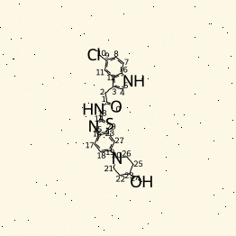 O=C(Cc1c[nH]c2ccc(Cl)cc12)Nc1nc2ccc(N3CCC(O)CC3)cc2s1